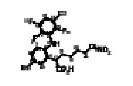 CCc1ccc(Nc2c(F)c(F)cc(F)c2F)c(C(CCCCO[N+](=O)[O-])C(=O)O)c1